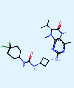 Cc1nc(N[C@H]2C[C@H](NC(=O)NC3CCC(F)(F)CC3)C2)nc2c1NC(=O)[C@H](C(C)C)N2C